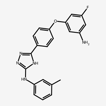 Cc1cccc(Nc2nnc(-c3ccc(Oc4cc(N)cc(F)c4)cc3)[nH]2)c1